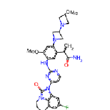 C=C(C(N)=O)c1cc(Nc2nccc(-n3c(=O)n4c5c(cc(F)cc53)CCC4)n2)c(OC)cc1N1CC(N2CC(OC)C2)C1